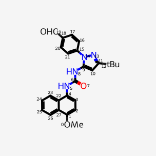 COc1ccc(NC(=O)Nc2cc(C(C)(C)C)nn2-c2ccc(C=O)cc2)c2ccccc12